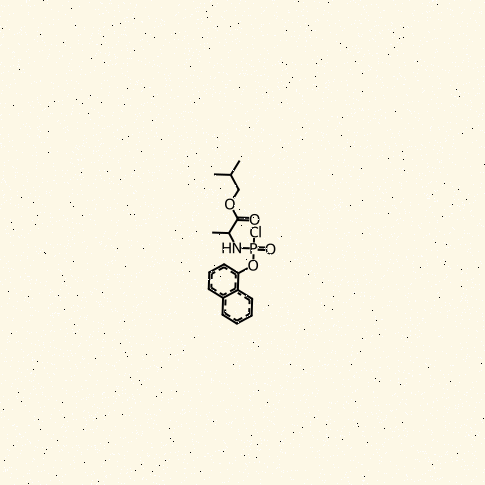 CC(C)COC(=O)C(C)NP(=O)(Cl)Oc1cccc2ccccc12